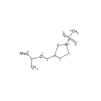 CSC(C)OCC1CCN(S(C)(=O)=O)C1